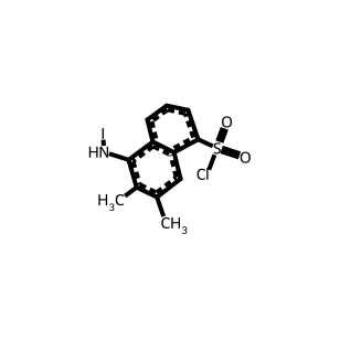 Cc1cc2c(S(=O)(=O)Cl)cccc2c(NI)c1C